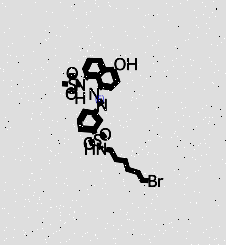 CS(=O)(=O)Nc1cccc2c(O)ccc(/N=N/c3cccc(S(=O)(=O)NCCCCCCBr)c3)c12